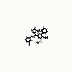 Cc1ccccc1-c1cc(C(OCc2cccc(I)c2)c2cncn2C)ccc1C#N.Cl